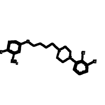 Cc1ccc(OCCCCN2CCN(c3cccc(Cl)c3Cl)CC2)cc1[N+](=O)[O-]